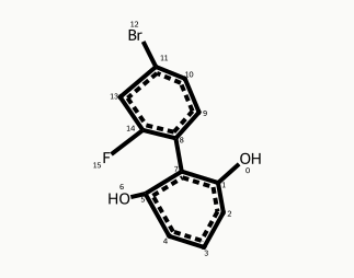 Oc1cccc(O)c1-c1ccc(Br)cc1F